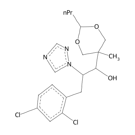 CCCC1OCC(C)(C(O)C(Cc2ccc(Cl)cc2Cl)n2cncn2)CO1